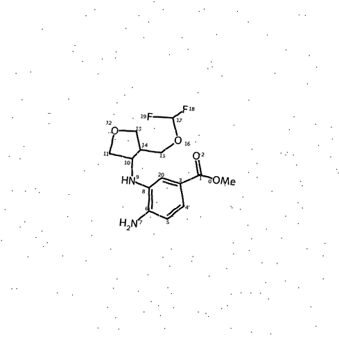 COC(=O)c1ccc(N)c(NC2COCC2COC(F)F)c1